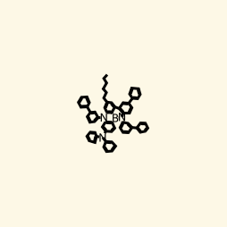 CCCCCCc1cc2c3c(c1)N(c1cccc(-c4ccccc4)c1)c1cc(N(c4ccccc4)c4ccccc4)ccc1B3N(c1cccc(-c3ccccc3)c1)c1ccc(-c3ccccc3)cc1-2